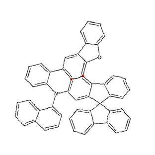 c1ccc(N(c2ccc3c(c2)C2(c4ccccc4-c4ccccc42)c2ccccc2-3)c2cccc3ccccc23)c(-c2ccc3oc4ccccc4c3c2)c1